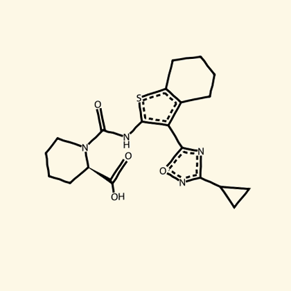 O=C(O)[C@H]1CCCCN1C(=O)Nc1sc2c(c1-c1nc(C3CC3)no1)CCCC2